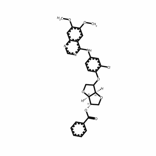 COc1cc2ncnc(Nc3ccc(OC4CO[C@@H]5[C@@H](OC(=O)c6ccccc6)CO[C@H]45)c(Cl)c3)c2cc1OC